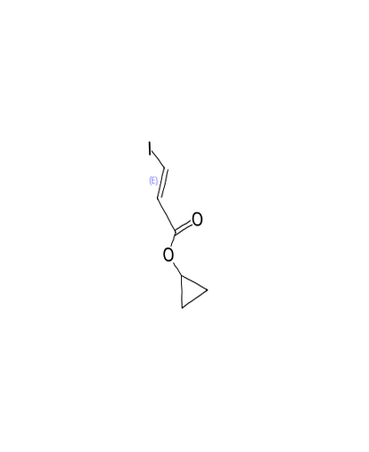 O=C(/C=C/I)OC1CC1